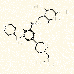 Cc1c(C(=O)NCC2C(=O)NC(C)CC2C)cc(C2CCC(CN(C)C)NC2)cc1N(C)C1CCCCC1